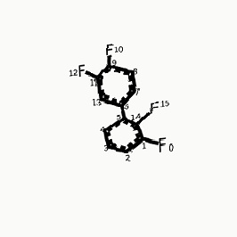 Fc1[c]ccc(-c2ccc(F)c(F)c2)c1F